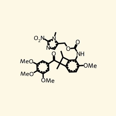 COc1ccc2c(c1NC(=O)OCc1cnc([N+](=O)[O-])n1C)C(C)C2(C)C(=O)c1cc(OC)c(OC)c(OC)c1